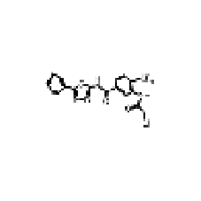 O=C(CCl)Nc1cc(C(=O)Nc2nnc(-c3ccccc3)s2)ccc1C(F)(F)F